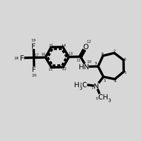 CN(C)C1CCCCCC1NC(=O)c1ccc(C(F)(F)F)cc1